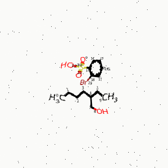 CCCCC(CC)CO.O=S(=O)(O)c1ccccc1Br